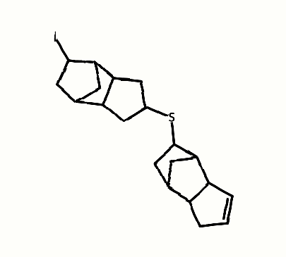 IC1CC2CC1C1CC(SC3CC4CC3C3C=CCC43)CC21